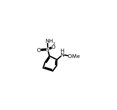 CONc1ccccc1S(N)(=O)=O